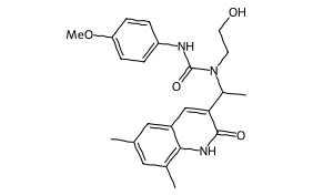 COc1ccc(NC(=O)N(CCO)C(C)c2cc3cc(C)cc(C)c3[nH]c2=O)cc1